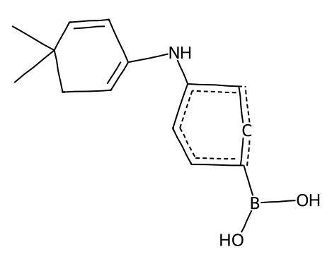 CC1(C)C=CC(Nc2ccc(B(O)O)cc2)=CC1